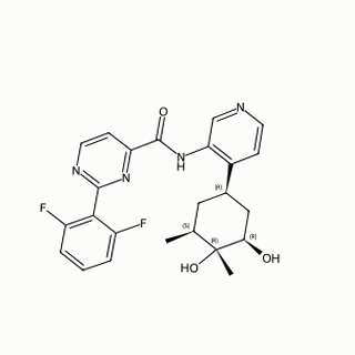 C[C@H]1C[C@@H](c2ccncc2NC(=O)c2ccnc(-c3c(F)cccc3F)n2)C[C@@H](O)[C@]1(C)O